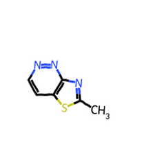 Cc1nc2nnccc2s1